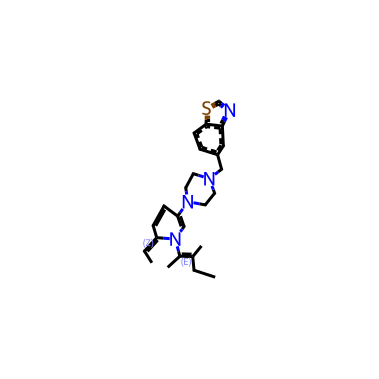 C/C=C1/C=CC(N2CCN(Cc3ccc4scnc4c3)CC2)=CN1/C(C)=C(\C)CC